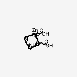 O=C(O)CCC1=Cc2cc3ccc(cc4nc(cc5cc(CCC(=O)O)c(cc1n2)[nH]5)C=C4)[nH]3.[Zn]